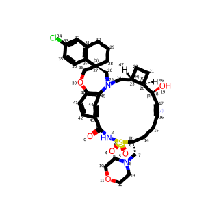 O=C1NS(=O)(=O)[C@@H](CN2CCOCC2)CC/C=C\[C@H](O)[C@@H]2CC[C@H]2CN2C[C@@]3(CCCc4cc(Cl)ccc43)COc3ccc1cc32